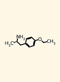 [CH2][C@@H](N)Cc1ccc(OCC)cc1